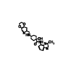 Cc1cnc2cccc(NC(=O)C3(O)CCC(NCc4cc5c(cn4)OCCO5)CC3)c2n1